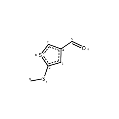 CSc1cc([C]=O)cs1